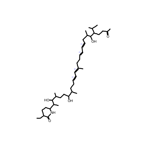 CCC1CCC(C(C)C(O)C(C)CCC(O)C(C)CC/C=C/C=C(\C)CC/C=C/C=C/CC(C)C(O)C(CCC(C)=O)C(C)C)NC1=O